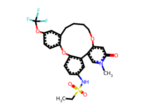 CCS(=O)(=O)Nc1ccc2c(c1)-c1cn(C)c(=O)cc1OCCCCc1cc(OC(F)(F)F)ccc1O2